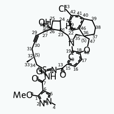 COc1nn(C)cc1C(=O)N[S@@]1(=O)=NC(=O)c2ccc3c(c2)N(C[C@@H]2CC[C@H]2[C@@H](O)C#CC[C@H](C)C1)C[C@@]1(CCCc2cc(Cl)ccc21)CO3